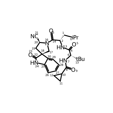 CC(C)C[C@H](NC(=O)[C@@H](NC(=O)C1CC1)C(C)(C)C)C(=O)N1C[C@]2(C[C@H]1C#N)C(=O)Nc1ccccc12